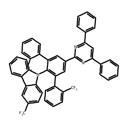 FC(F)(F)c1ccc2c(c1)c1ccccc1n2-c1c(-c2ccccc2C(F)(F)F)cc(-c2nc(-c3ccccc3)cc(-c3ccccc3)n2)cc1-c1ccccc1C(F)(F)F